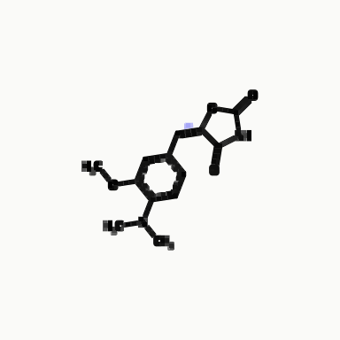 COc1cc(/C=C2/OC(=O)NC2=O)ccc1N(C)C